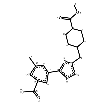 COC(=O)C1CCC(Cn2nnc(-c3cc(C)nc(C(=O)O)c3)n2)CC1